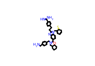 N=C(N)c1ccc(CCc2nc3cc(C(=O)N(Cc4ccc(CN)cc4)CC4CCCCC4)ccc3n2CC2=CC=CCC2=S)cc1